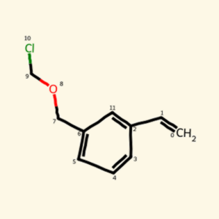 C=Cc1cccc(COCCl)c1